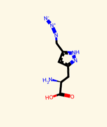 [N-]=[N+]=NCc1cc(C[C@H](N)C(=O)O)n[nH]1